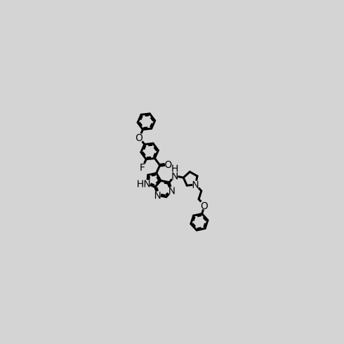 O=C(c1ccc(Oc2ccccc2)cc1F)c1c[nH]c2ncnc(NC3CCN(CCOc4ccccc4)C3)c12